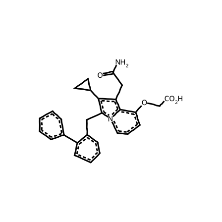 NC(=O)Cc1c(C2CC2)c(Cc2ccccc2-c2ccccc2)n2cccc(OCC(=O)O)c12